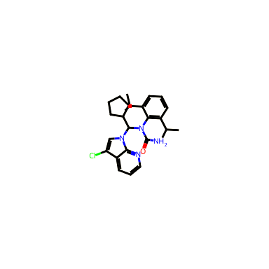 CC(C)c1cccc(C(C)C)c1N(C(N)=O)C(C1CCCC1)n1cc(Cl)c2cccnc21